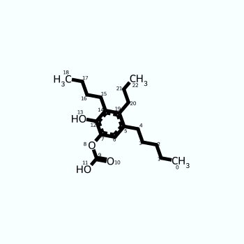 CCCCCc1cc(OC(=O)O)c(O)c(CCCC)c1CCC